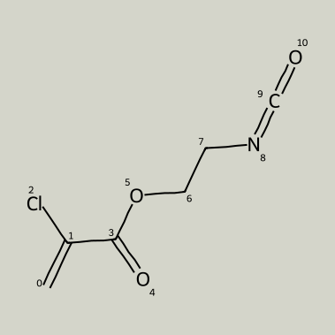 C=C(Cl)C(=O)OCCN=C=O